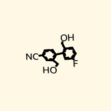 N#Cc1ccc(-c2cc(F)ccc2CO)c(CO)c1